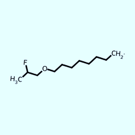 [CH2]CCCCCCCOCC(C)F